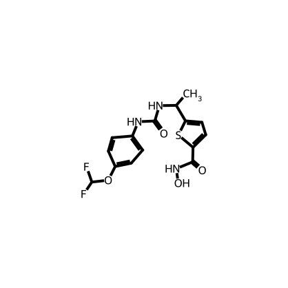 CC(NC(=O)Nc1ccc(OC(F)F)cc1)c1ccc(C(=O)NO)s1